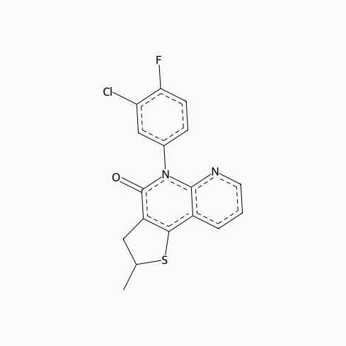 CC1Cc2c(c3cccnc3n(-c3ccc(F)c(Cl)c3)c2=O)S1